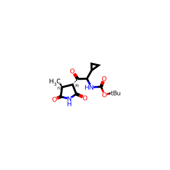 C[C@@H]1C(=O)NC(=O)[C@H]1C(=O)C(NC(=O)OC(C)(C)C)C1CC1